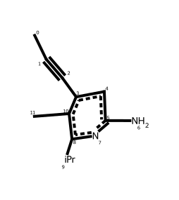 CC#Cc1cc(N)nc(C(C)C)c1C